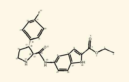 CCOC(=O)c1cc2cc(NC(=O)[C@H]3NCC[C@@H]3c3ccc(F)cc3)ccc2[nH]1